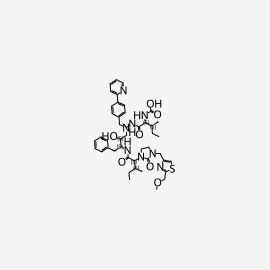 CC[C@H](C)[C@H](NC(=O)O)C(=O)NN(Cc1ccc(-c2ccccn2)cc1)C[C@H](O)[C@H](Cc1ccccc1)NC(=O)[C@H]([C@@H](C)CC)N1CCN(Cc2csc(COC)n2)C1=O